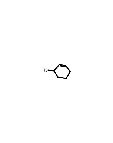 S[C]1C=CCCC1